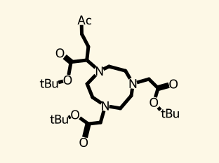 CC(=O)CCC(C(=O)OC(C)(C)C)N1CCN(CC(=O)OC(C)(C)C)CCN(CC(=O)OC(C)(C)C)CC1